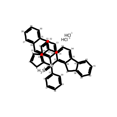 Cl.Cl.[SiH2]=[Zr]([C]1=CC=CC1)([c]1ccccc1)([c]1ccccc1)[c]1c(-c2ccc3ccccc3c2)ccc2c1Cc1ccccc1-2